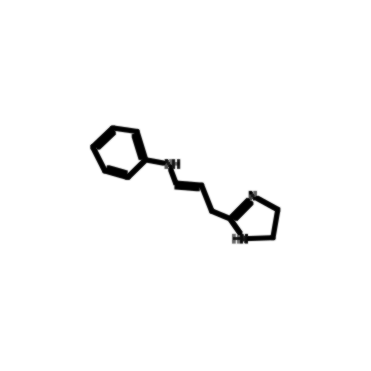 C(=CNc1ccccc1)CC1=NCCN1